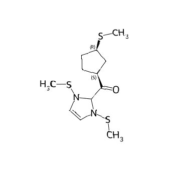 CS[C@@H]1CC[C@H](C(=O)C2N(SC)C=CN2SC)C1